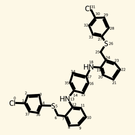 Clc1ccc(SCc2ccccc2Nc2ccc(Nc3ccccc3CSc3ccc(Cl)cc3)cc2)cc1